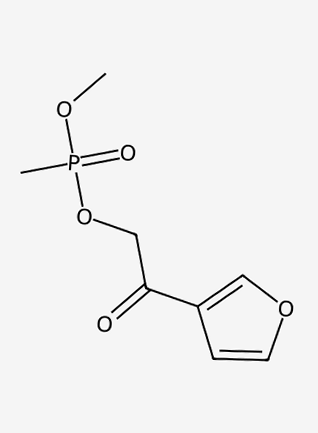 COP(C)(=O)OCC(=O)c1ccoc1